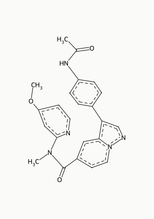 COc1ccnc(N(C)C(=O)c2ccn3ncc(-c4ccc(NC(C)=O)cc4)c3c2)c1